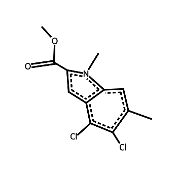 COC(=O)c1cc2c(Cl)c(Cl)c(C)cc2n1C